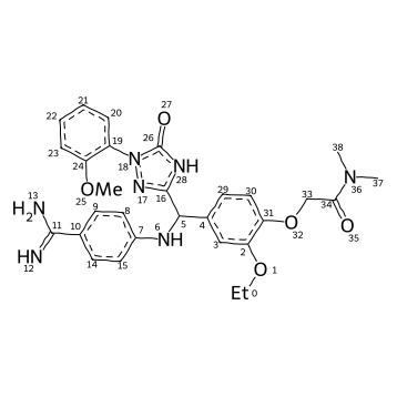 CCOc1cc(C(Nc2ccc(C(=N)N)cc2)c2nn(-c3ccccc3OC)c(=O)[nH]2)ccc1OCC(=O)N(C)C